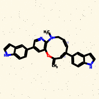 C=C1/C=C(c2ccc3[nH]ccc3c2)\C=C/CN(C)c2ncc(-c3ccc4[nH]ccc4c3)cc2O1